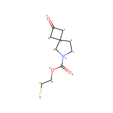 O=C1CC2(CCN(C(=O)OCCF)C2)C1